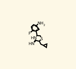 N=C1NC(c2cc(N)ccc2F)CSC1CC1CC1